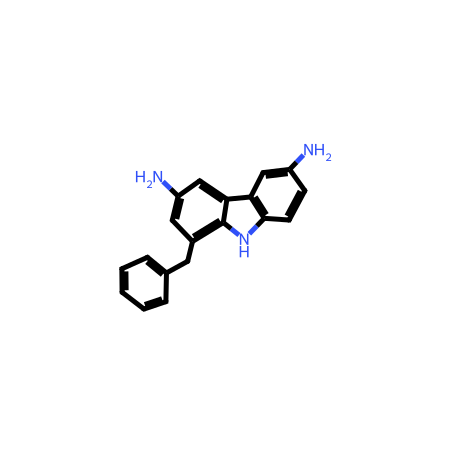 Nc1ccc2[nH]c3c(Cc4ccccc4)cc(N)cc3c2c1